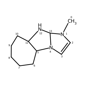 CN1C=CN2C3CCCCCC3NC12